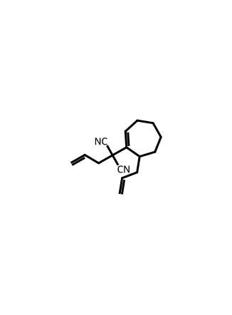 C=CCC1CCCCC=C1C(C#N)(C#N)CC=C